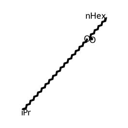 CCCCCC/C=C\CCCCCCCC(=O)OCCCCCCCCCCCCCCCCCCCCCCCCCCCCCCCCCCC(C)C